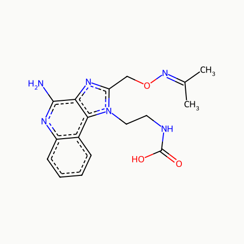 CC(C)=NOCc1nc2c(N)nc3ccccc3c2n1CCNC(=O)O